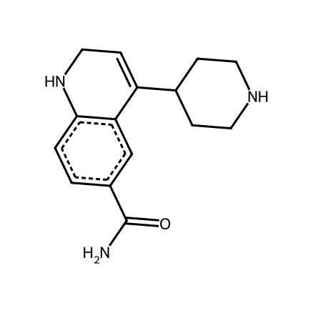 NC(=O)c1ccc2c(c1)C(C1CCNCC1)=CCN2